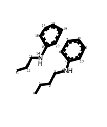 CCCCNc1ccccc1.CCCNc1ccccc1